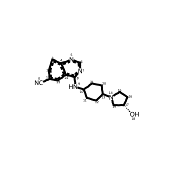 N#Cc1ccc2ncnc(NC3CCC(N4CC[C@H](O)C4)CC3)c2c1